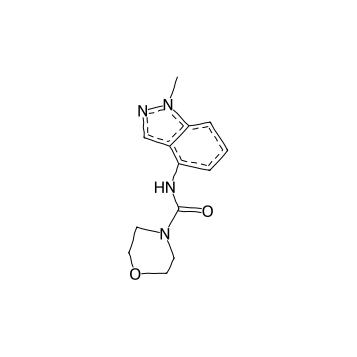 Cn1ncc2c(NC(=O)N3CCOCC3)cccc21